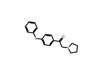 O=C(C[S+]1CCCC1)c1ccc(Sc2ccccc2)cc1